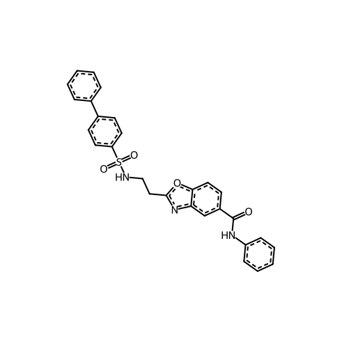 O=C(Nc1ccccc1)c1ccc2oc(CCNS(=O)(=O)c3ccc(-c4ccccc4)cc3)nc2c1